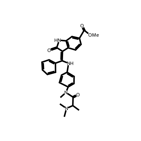 COC(=O)c1ccc2c(c1)NC(=O)C2=C(Nc1ccc(N(C)C(=O)C(C)N(C)C)cc1)c1ccccc1